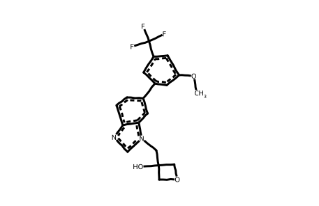 COc1cc(-c2ccc3ncn(CC4(O)COC4)c3c2)cc(C(F)(F)F)c1